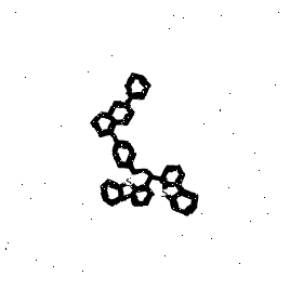 c1ccc(-c2ccc3c(-c4ccc(CCC(c5cccc6c5sc5ccccc56)c5cccc6c5sc5ccccc56)cc4)cccc3c2)cc1